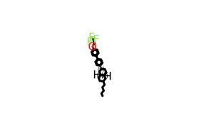 CCCCCC1CC[C@@H]2C[C@H](c3ccc(-c4ccc(OCC(F)(F)F)cc4)cc3)CC[C@@H]2C1